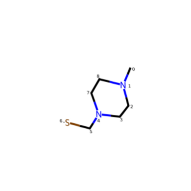 CN1CCN(C[S])CC1